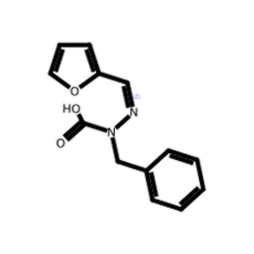 O=C(O)N(Cc1ccccc1)/N=C\c1ccco1